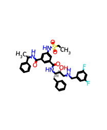 CCS(=O)(=O)Nc1cc(C(=O)N[C@@H](Cc2ccccc2)[C@H](O)CNCc2cc(F)cc(F)c2)cc(C(=O)N[C@H](C)c2ccccc2)c1